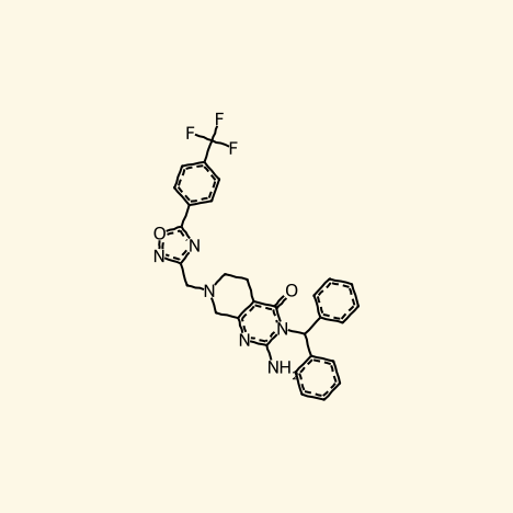 Nc1nc2c(c(=O)n1C(c1ccccc1)c1ccccc1)CCN(Cc1noc(-c3ccc(C(F)(F)F)cc3)n1)C2